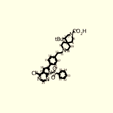 CC(C)(C)C1CN(C(=O)O)CCC12CCN(CCc1ccc(-c3cc4c(Cl)ncnc4n3S(=O)(=O)c3ccccc3)cc1)CC2